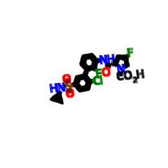 O=C(Nc1cccc(-c2cc(S(=O)(=O)NC3CC3)ccc2Cl)c1F)[C@@H]1C[C@@H](F)CN1C(=O)O